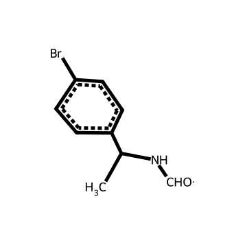 CC(N[C]=O)c1ccc(Br)cc1